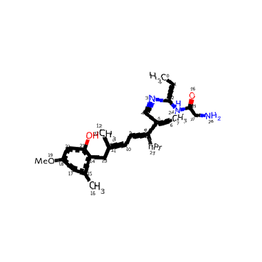 C\C=C(/N=C\C(=C/C)C(=C\C=C(/C)Cc1c(C)cc(OC)cc1O)\CCC)NC(=O)CN